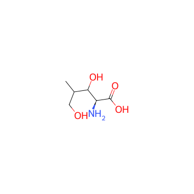 CC(CO)C(O)[C@H](N)C(=O)O